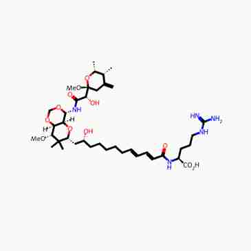 C=C1C[C@](OC)([C@H](O)C(=O)N[C@H]2OCO[C@H]3[C@@H]2O[C@H](C[C@H](O)CCCCC/C=C/C=C/C(=O)N[C@@H](CCCNC(=N)N)C(=O)O)C(C)(C)[C@@H]3OC)O[C@H](C)[C@@H]1C